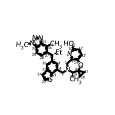 CC[C@H](c1cc(CN2Cc3nc(O)ccc3OC3(CC3)[C@H]2C)c2sccc2c1)c1ccc2c(nnn2C)c1C